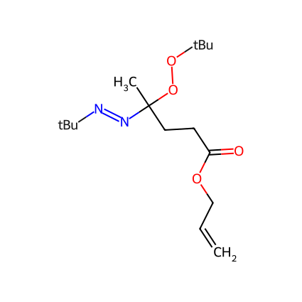 C=CCOC(=O)CCC(C)(N=NC(C)(C)C)OOC(C)(C)C